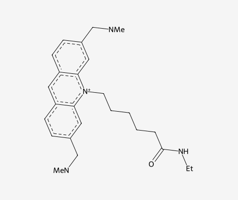 CCNC(=O)CCCCC[n+]1c2cc(CNC)ccc2cc2ccc(CNC)cc21